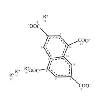 O=C([O-])c1cc(C(=O)[O-])c2cc(C(=O)[O-])cc(C(=O)[O-])c2c1.[K+].[K+].[K+].[K+]